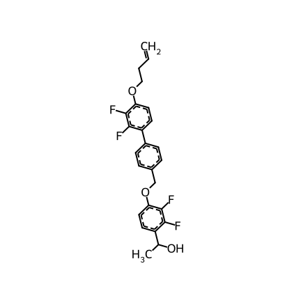 C=CCCOc1ccc(-c2ccc(COc3ccc(C(C)O)c(F)c3F)cc2)c(F)c1F